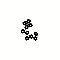 c1ccc([Si](c2ccccc2)(c2ccccc2)c2ccc(-n3c4ccccc4c4cc(-n5c6ccccc6c6cc(-c7cccc8sc9ccccc9c78)ccc65)ccc43)cc2)cc1